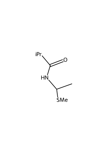 CSC(C)NC(=O)C(C)C